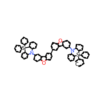 c1ccc([Si]2(c3ccccc3)c3ccccc3N(c3ccc4oc5ccc(-c6ccc7oc8ccc(N9c%10ccccc%10[Si](c%10ccccc%10)(c%10ccccc%10)c%10ccccc%109)cc8c7c6)cc5c4c3)c3ccccc32)cc1